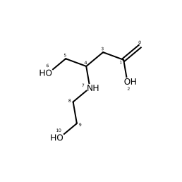 C=C(O)CC(CO)NCCO